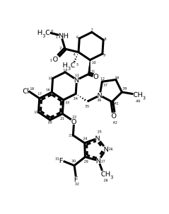 CNC(=O)[C@@]1(C)CCCC[C@H]1C(=O)N1CCc2c(Cl)ccc(OCc3nnn(C)c3C(F)F)c2[C@H]1CN1CCC(C)C1=O